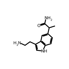 CC(C(N)=O)c1ccc2[nH]cc(CCN)c2c1